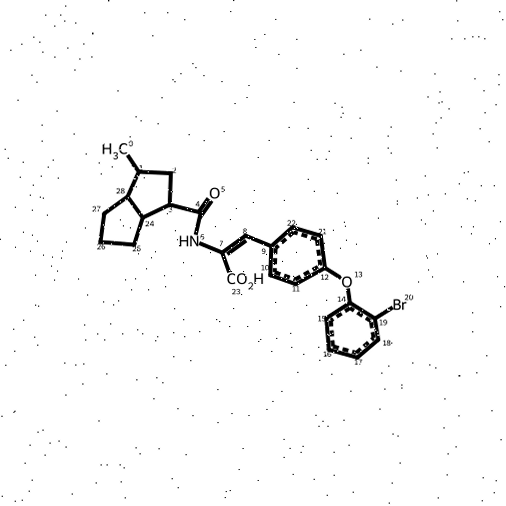 CC1CC(C(=O)NC(=Cc2ccc(Oc3ccccc3Br)cc2)C(=O)O)C2CCCC12